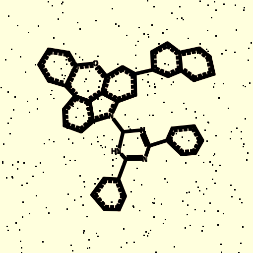 c1ccc(C2=NC(n3c4cc(-c5ccc6ccccc6c5)cc5oc6ccccc6c6cccc3c6c54)NC(c3ccccc3)=N2)cc1